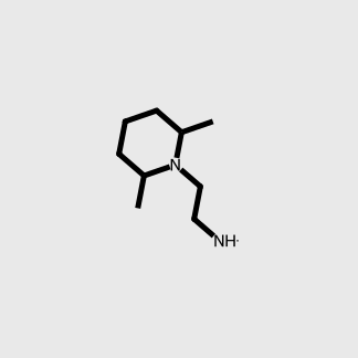 CC1CCCC(C)N1CC[NH]